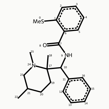 CSc1ccccc1C(=O)NC(c1ccccc1)C1(C)CCC(C)CN1C